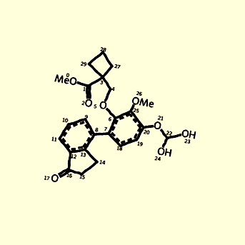 COC(=O)C1(COc2c(-c3cccc4c3CCC4=O)ccc(OC(O)O)c2OC)CCC1